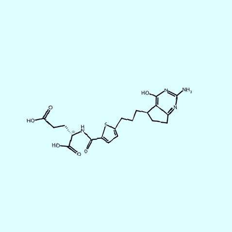 Nc1nc(O)c2c(n1)CCC2CCCc1ccc(C(=O)N[C@@H](CCC(=O)O)C(=O)O)s1